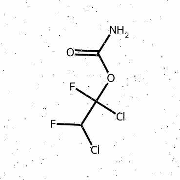 NC(=O)OC(F)(Cl)C(F)Cl